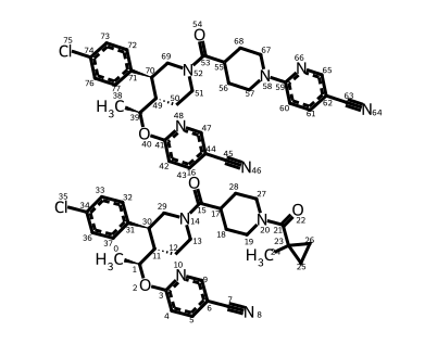 C[C@H](Oc1ccc(C#N)cn1)[C@H]1CCN(C(=O)C2CCN(C(=O)C3(C)CC3)CC2)C[C@@H]1c1ccc(Cl)cc1.C[C@H](Oc1ccc(C#N)cn1)[C@H]1CCN(C(=O)C2CCN(c3ccc(C#N)cn3)CC2)C[C@@H]1c1ccc(Cl)cc1